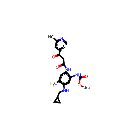 CC(C)(C)OC(=O)Nc1cc(NCC2CC2)c(C(F)(F)F)cc1NC(=O)CC(=O)c1ccnc(C#N)c1